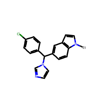 CCn1ccc2cc(C(c3ccc(Cl)cc3)n3ccnc3)ccc21